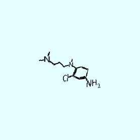 CN(C)CCCN(C)c1ccc(N)cc1Cl